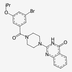 CC(C)Oc1cc(Br)cc(C(=O)N2CCN(c3nc4ccccc4c(=O)[nH]3)CC2)c1